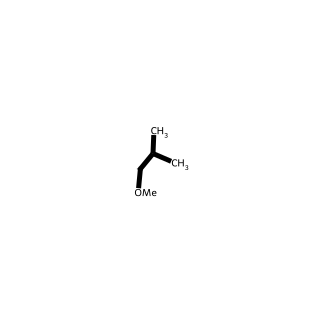 CO[CH]C(C)C